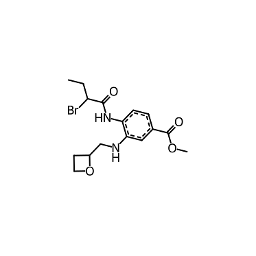 CCC(Br)C(=O)Nc1ccc(C(=O)OC)cc1NCC1CCO1